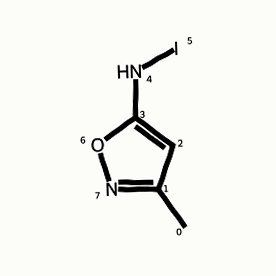 Cc1cc(NI)on1